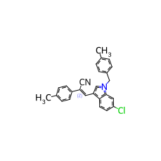 Cc1ccc(Cn2cc(/C=C(\C#N)c3ccc(C)cc3)c3ccc(Cl)cc32)cc1